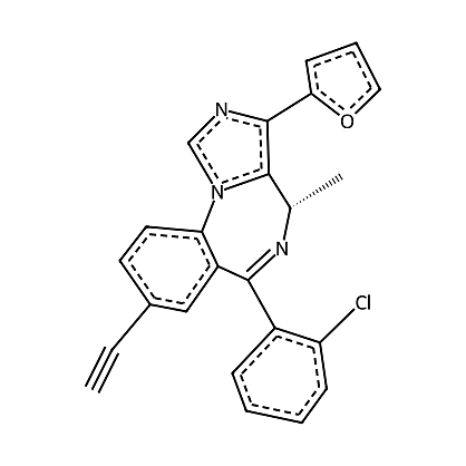 C#Cc1ccc2c(c1)C(c1ccccc1Cl)=N[C@@H](C)c1c(-c3ccco3)ncn1-2